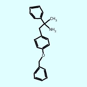 CC(N)(Cc1ccc(OCc2ccccc2)cc1)c1ccccc1